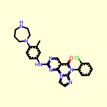 Cc1cc(Nc2ncc3c(=O)n(-c4ccccc4Cl)c4nccn4c3n2)ccc1N1CCCNCC1